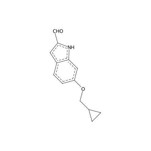 O=Cc1cc2ccc(OCC3CC3)cc2[nH]1